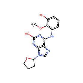 COc1c(O)cccc1Nc1nc(O)nc2c1ncn2C1CCCO1